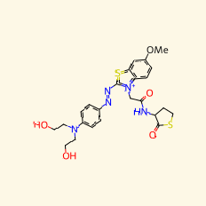 COc1ccc2c(c1)sc(/N=N/c1ccc(N(CCO)CCO)cc1)[n+]2CC(=O)NC1CCSC1=O